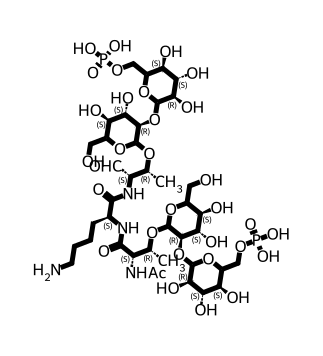 CC(=O)N[C@H](C(=O)N[C@@H](CCCCN)C(=O)N[C@H](C=O)[C@@H](C)OC1OC(CO)[C@@H](O)[C@H](O)[C@H]1OC1OC(COP(=O)(O)O)[C@@H](O)[C@H](O)[C@H]1O)[C@@H](C)OC1OC(CO)[C@@H](O)[C@H](O)[C@H]1OC1OC(COP(=O)(O)O)[C@@H](O)[C@H](O)[C@H]1O